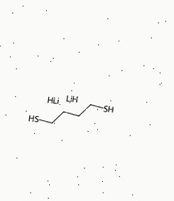 S[CH]CCCS.[LiH].[LiH]